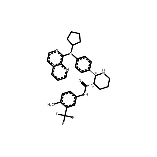 Cc1ccc(NC(=O)[C@H]2CCCN[C@H]2c2ccc(N(c3nccc4cccnc34)C3CCCC3)cc2)cc1C(F)(F)F